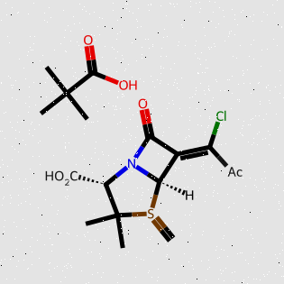 C=S1[C@@H]2C(=C(Cl)C(C)=O)C(=O)N2[C@@H](C(=O)O)C1(C)C.CC(C)(C)C(=O)O